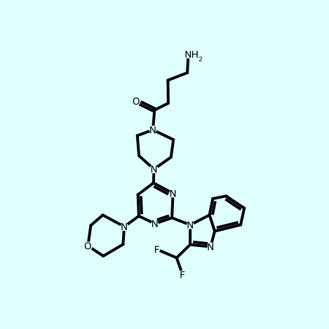 NCCCC(=O)N1CCN(c2cc(N3CCOCC3)nc(-n3c(C(F)F)nc4ccccc43)n2)CC1